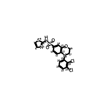 O=S(=O)(Nc1nccs1)c1ccc2c(c1)OCCN2c1cccc(Cl)c1Cl